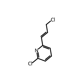 ClCC=Cc1cccc(Cl)n1